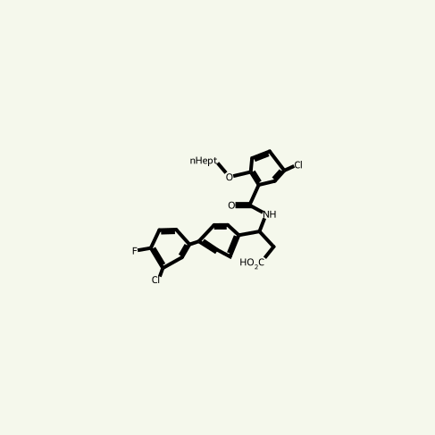 CCCCCCCOc1ccc(Cl)cc1C(=O)NC(CC(=O)O)c1ccc(-c2ccc(F)c(Cl)c2)cc1